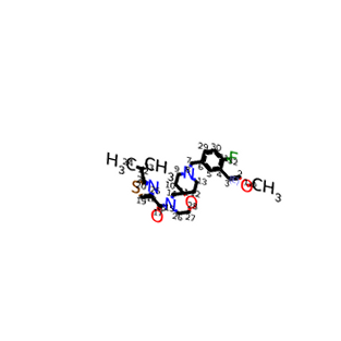 CO/C=C/c1cc(CN2CCC3(CC2)CN(C(=O)c2csc(C(C)C)n2)CCO3)ccc1F